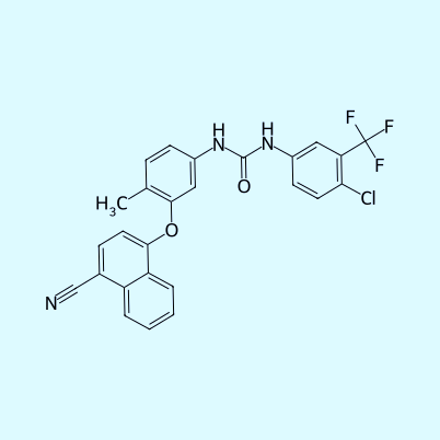 Cc1ccc(NC(=O)Nc2ccc(Cl)c(C(F)(F)F)c2)cc1Oc1ccc(C#N)c2ccccc12